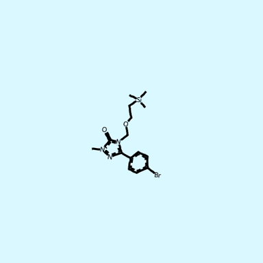 Cn1nc(-c2ccc(Br)cc2)n(COCC[Si](C)(C)C)c1=O